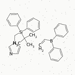 C=CB(c1ccccc1)c1ccccc1.CC(C)(C)[Si](Cn1ccnc1)(c1ccccc1)c1ccccc1